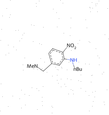 CCCCNc1cc(CNC)ccc1[N+](=O)[O-]